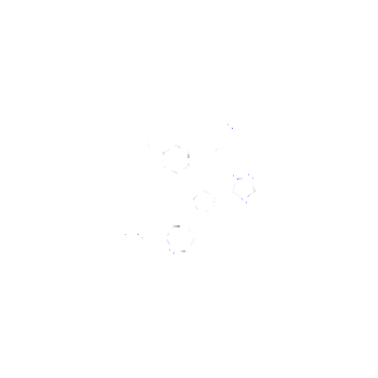 CC(=O)Nc1cc(-c2cc(C(OC[C@@H]3CCCN3)c3ccc(I)cc3)c(-c3nnc[nH]3)s2)ccn1